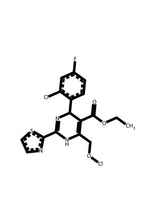 CCOC(=O)C1=C(COCl)NC(c2nccs2)=NC1c1ccc(F)cc1Cl